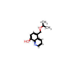 CC(C)OCc1ccc(O)c2ncccc12